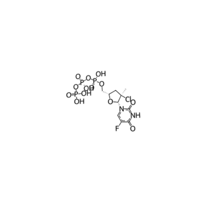 C[C@@]1(Cl)C[C@@H](COP(=O)(O)OP(=O)(O)OP(=O)(O)O)O[C@H]1n1cc(F)c(=O)[nH]c1=O